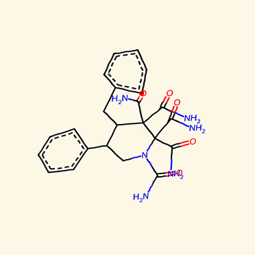 NC(=O)N1CC(c2ccccc2)C(Cc2ccccc2)C(C(N)=O)(C(N)=O)C1(C(N)=O)C(N)=O